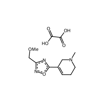 COCc1noc(C2=CCCN(C)C2)n1.O=C(O)C(=O)O